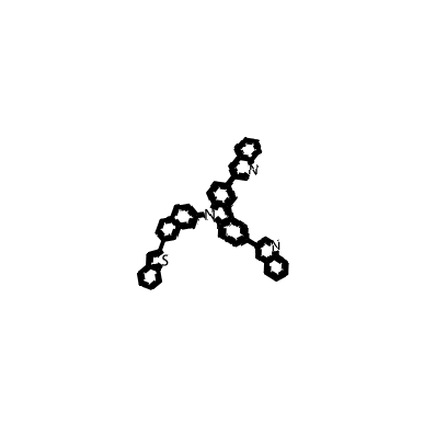 c1ccc2ncc(-c3ccc4c(c3)c3cc(-c5cnc6ccccc6c5)ccc3n4-c3ccc4ccc(-c5cc6ccccc6s5)cc4c3)cc2c1